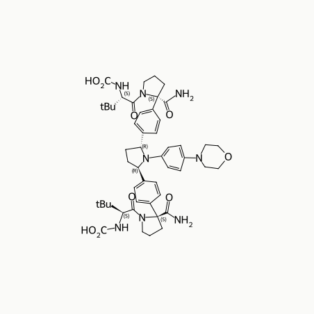 CC(C)(C)[C@H](NC(=O)O)C(=O)N1CCC[C@@]1(C(N)=O)c1ccc([C@H]2CC[C@H](c3ccc([C@]4(C(N)=O)CCCN4C(=O)[C@@H](NC(=O)O)C(C)(C)C)cc3)N2c2ccc(N3CCOCC3)cc2)cc1